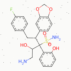 NCC(O)C(c1ccccc1O)(C(Cc1ccc(F)cc1)c1ccc2c(c1)OCO2)S(N)(=O)=O